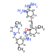 Cc1cc(CN2CCN(C)CC2)cc(Nc2noc3c(C#Cc4ccc(NN)c(N)c4)c(C)ccc23)c1